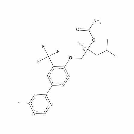 Cc1cc(-c2ccc(OC[C@](C)(CC(C)C)OC(N)=O)c(C(F)(F)F)c2)ncn1